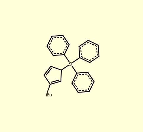 CCC(C)C1=C[C]([Si](c2ccccc2)(c2ccccc2)c2ccccc2)C=C1